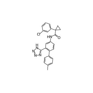 Cc1ccc(-c2ccc(NC(=O)C3(c4cccc(Cl)c4)CC3)cc2-c2nnn[nH]2)cc1